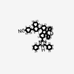 N#Cc1ccc(-c2ccc(-c3cccc4c3-c3ccc(C5=NC(c6ccccc6)NC(c6ccccc6)=N5)cc3C43c4ccccc4Oc4ccccc43)c3ccccc23)cc1